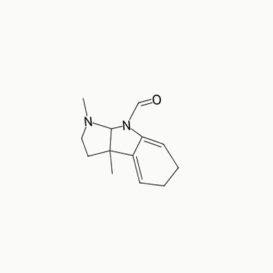 CN1CCC2(C)C3=CCCC=C3N(C=O)C12